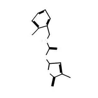 CC1=CC(OC(=O)NCc2ccccc2Cl)OC1=O